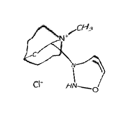 C[N+]12CCC(CC1)CC2N1C=CON1.[Cl-]